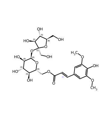 COc1cc(/C=C/C(=O)OC[C@H]2O[C@H](O[C@]3(CO)O[C@H](CO)[C@@H](O)[C@@H]3O)[C@H](O)[C@@H](O)[C@@H]2O)cc(OC)c1O